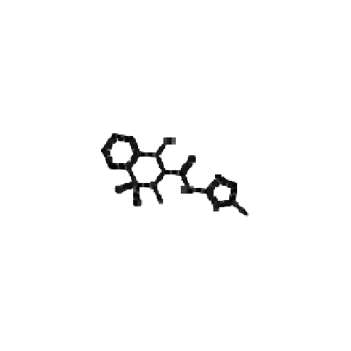 Cc1cnc(NC(=O)C2C(O)c3ccccc3S(=O)(=O)N2C)s1